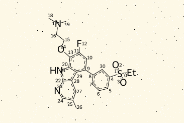 CCS(=O)(=O)c1cccc(-c2cc(F)c(OCCN(C)C)c3[nH]c4ncc(C)cc4c23)c1